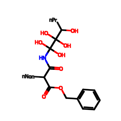 CCCCCCCCCC(C(=O)NC(O)(O)C(O)(O)C(O)CCC)C(=O)OCc1ccccc1